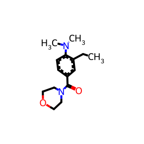 CCc1cc(C(=O)N2CCOCC2)ccc1N(C)C